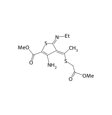 CC/N=C1/SC(C(=O)OC)=C(N)/C1=C(/C)SCC(=O)OC